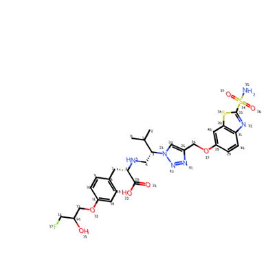 CC(C)[C@@H](CN[C@@H](Cc1ccc(OCC(O)CF)cc1)C(=O)O)n1cc(COc2ccc3nc(S(N)(=O)=O)sc3c2)nn1